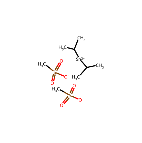 CS(=O)(=O)[O-].CS(=O)(=O)[O-].C[CH](C)[Sn+2][CH](C)C